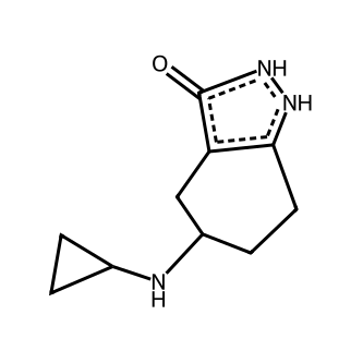 O=c1[nH][nH]c2c1CC(NC1CC1)CC2